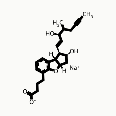 CC#CCC(C)[C@H](O)/C=C/[C@@H]1[C@H]2c3cccc(CCCC(=O)[O-])c3O[C@H]2C[C@H]1O.[Na+]